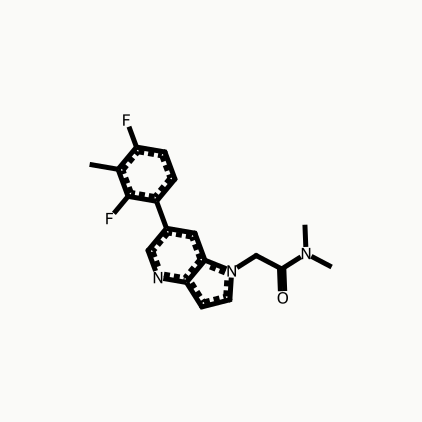 Cc1c(F)ccc(-c2cnc3ccn(CC(=O)N(C)C)c3c2)c1F